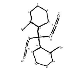 CC1CCCCC1C(N=C=O)(N=C=O)C1CCCCC1C